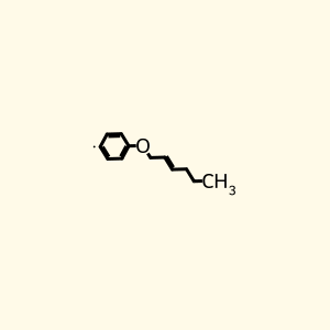 CCC/C=C/COc1cc[c]cc1